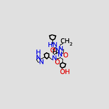 C=CCN1CC(=O)N2[C@@H](Cc3ccc(O)cc3)C(=O)N(Cc3cccc(C4=NCCN4)c3)C[C@@H]2N1C(=O)NCc1ccccc1